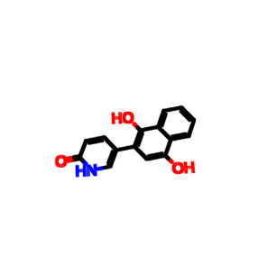 O=c1ccc(-c2cc(O)c3ccccc3c2O)c[nH]1